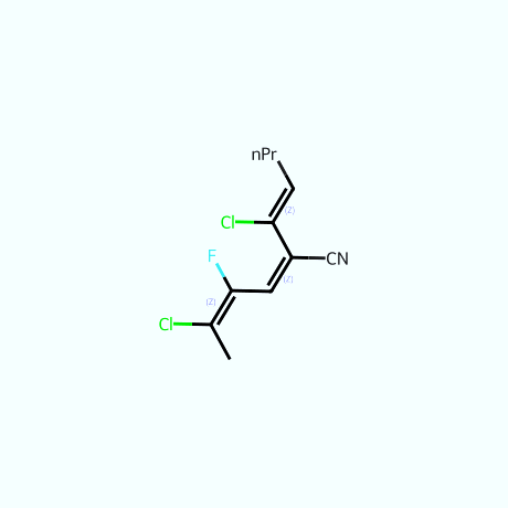 CCC/C=C(Cl)/C(C#N)=C\C(F)=C(/C)Cl